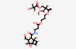 C=C(OCCCOC(=O)CCNC(=O)C1C(C=O)C2(C)OC23C=CC13C)C(C)(COC)COC(=O)C(C)(C)Br